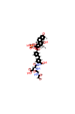 C[C@]12C=CC(=O)C=C1CC[C@@H]1[C@@H]2[C@@H](O)C[C@@]2(C)[C@H]1C[C@H]1O[C@@H](c3cccc(Cc4ccc(NC(=O)[C@H](CCC(=O)O)NC(=O)CNC(=O)CBr)c(CO)c4)c3)O[C@]12C(=O)COP(=O)(O)O